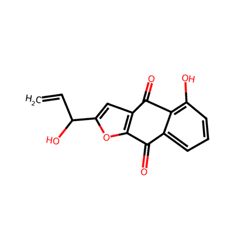 C=CC(O)c1cc2c(o1)C(=O)c1cccc(O)c1C2=O